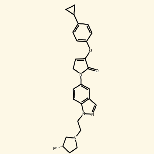 O=C1C(Oc2ccc(C3CC3)cc2)=CCN1c1ccc2c(cnn2CCN2CC[C@H](F)C2)c1